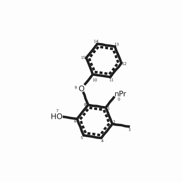 CCCc1c(C)ccc(O)c1Oc1ccccc1